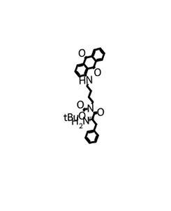 CC(C)(C)OC(=O)N(CCCCNc1cccc2c1C(=O)c1ccccc1C2=O)C(=O)[C@H](N)Cc1ccccc1